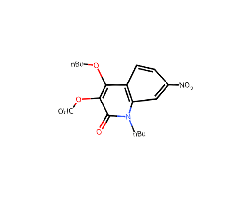 CCCCOc1c(OC=O)c(=O)n(CCCC)c2cc([N+](=O)[O-])ccc12